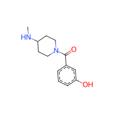 CNC1CCN(C(=O)c2cccc(O)c2)CC1